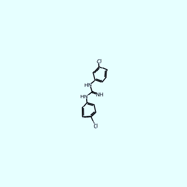 N=C(Nc1ccc(Cl)cc1)Nc1cccc(Cl)c1